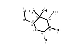 O=[N+]([O-])[C@@]1(O)[C@H](O)[C@@H](O)[C@H](O)O[C@@H]1CO